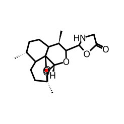 C[C@H]1C(C2NCC(=O)O2)O[C@@H]2O[C@]3(C)CCC4[C@H](C)CCC1C42OO3